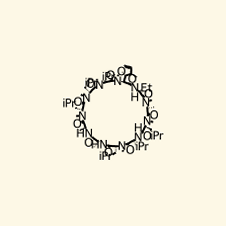 CC[C@H]1NC(=O)[C@@H]([C@@H]2OC=C[C@H]2C)N(C)C(=O)[C@@H](C(C)C)N(C)C(=O)[C@@H](CC(C)C)N(C)C(=O)[C@@H](CC(C)C)N(C)C(=O)[C@H](C)NC(=O)[C@@H](C)NC(=O)[C@@H](CC(C)C)N(C)C(=O)[C@@H](C(C)C)NC(=O)[C@H](CC(C)C)N(C)C(=O)[C@@H](C)N(C)C1=O